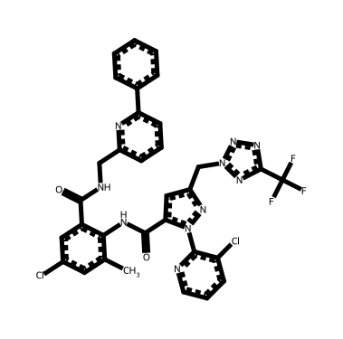 Cc1cc(Cl)cc(C(=O)NCc2cccc(-c3ccccc3)n2)c1NC(=O)c1cc(Cn2nnc(C(F)(F)F)n2)nn1-c1ncccc1Cl